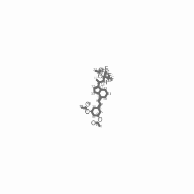 CC(=O)OC1C/C(=C/C=C2\CCC[C@]3(C)C(C(C)CC(OC(C)=O)(C(F)(F)F)C(F)(F)F)=CCC23)C[C@@H](OC(C)=O)C1